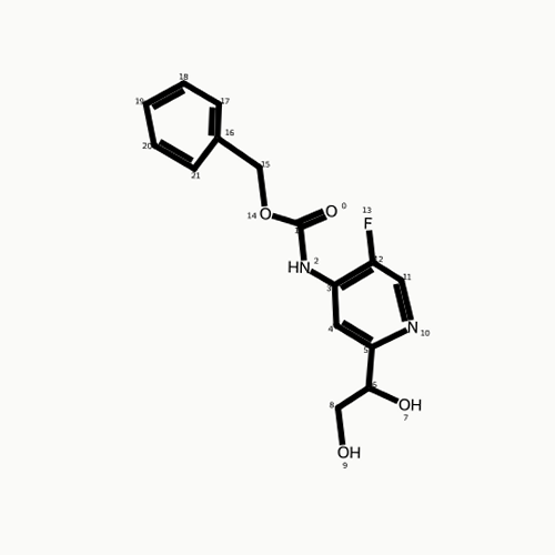 O=C(Nc1cc(C(O)CO)ncc1F)OCc1ccccc1